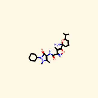 Cc1c(C(=O)Nc2c(C)n(C)n(C3CCCCC3)c2=O)noc1[C@@]1(N)CC=CC(C(C)C)O1